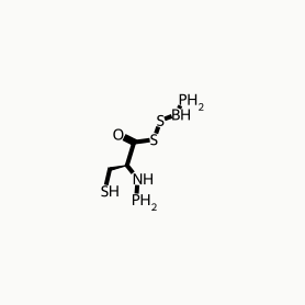 O=C(SSBP)[C@H](CS)NP